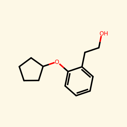 OCCc1ccccc1OC1CCCC1